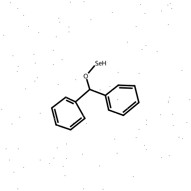 [SeH]OC(c1ccccc1)c1ccccc1